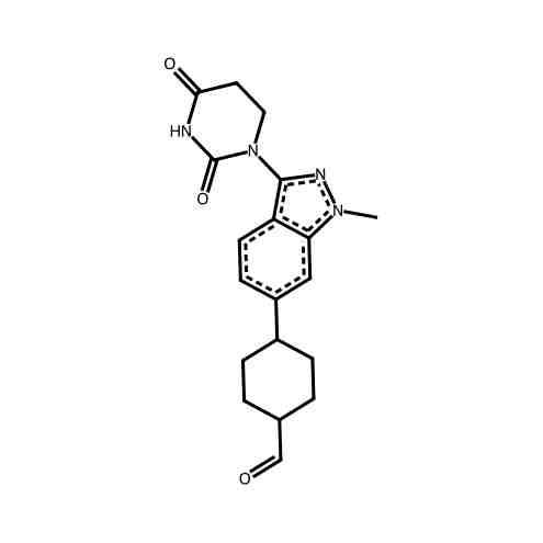 Cn1nc(N2CCC(=O)NC2=O)c2ccc(C3CCC(C=O)CC3)cc21